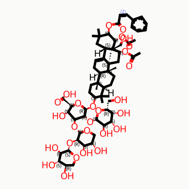 CC(=O)O[C@@H]1C[C@]2(C)C(=CC[C@@H]3[C@@]4(C)CC[C@H](O[C@@H]5O[C@H](C(=O)O)[C@@H](O)[C@H](O[C@@H]6OC[C@H](O)[C@H](O)[C@H]6O[C@@H]6OC[C@@H](O)[C@H](O)[C@H]6O)[C@H]5O[C@@H]5O[C@H](CO)[C@H](O)[C@H](O)[C@H]5O)C(C)(C)[C@@H]4CC[C@]32C)[C@@H]2CC(C)(C)[C@@H](OC(=O)/C=C\c3ccccc3)[C@H](OC(C)=O)[C@]12CO